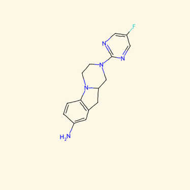 Nc1ccc2c(c1)CC1CN(c3ncc(F)cn3)CCN21